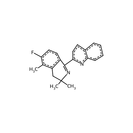 Cc1c(F)ccc2c1CC(C)(C)N=C2c1ccc2ccccc2n1